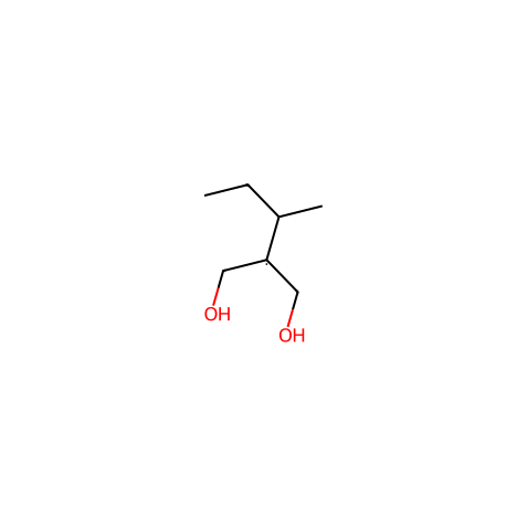 CCC(C)[C](CO)CO